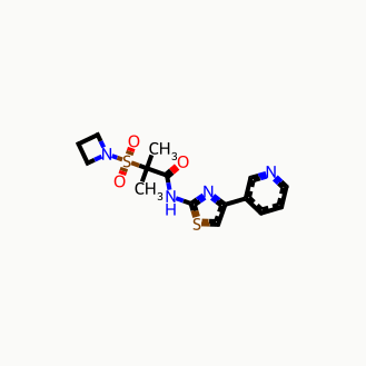 CC(C)(C(=O)Nc1nc(-c2cccnc2)cs1)S(=O)(=O)N1CCC1